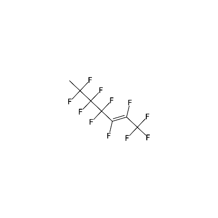 CC(F)(F)C(F)(F)C(F)(F)C(F)=C(F)C(F)(F)F